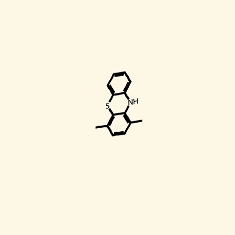 Cc1ccc(C)c2c1Nc1ccccc1S2